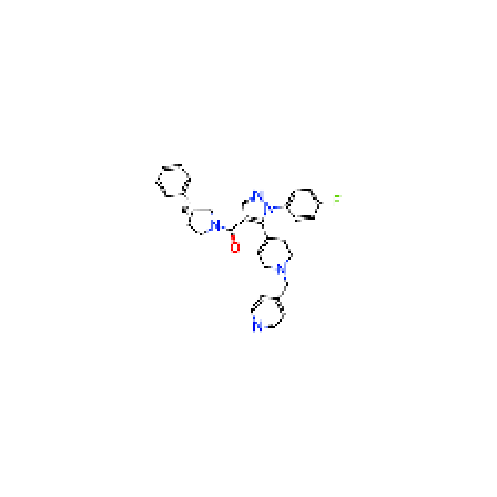 O=C(c1cnn(-c2ccc(F)cc2)c1C1=CCN(Cc2ccncc2)CC1)N1CC[C@H](c2ccccc2)C1